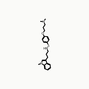 CN(C)CCCOc1ccc(SNCCCc2cn(C)c3ccccc23)cc1